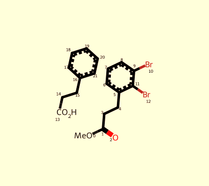 COC(=O)CCc1cccc(Br)c1Br.O=C(O)CCc1ccccc1